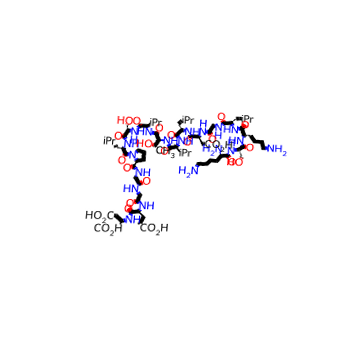 CC(C)C[C@H](NC(=O)[C@H](CCCCN)NC(=O)[C@H](CO)NC(=O)[C@@H](N)CCCCN)C(=O)NCC(=O)N[C@@H](CC(=O)O)C(=O)N[C@@H](CC(C)C)C(=O)N[C@H](C(=O)N[C@H](C(=O)N[C@H](C(=O)N[C@@H](CO)C(=O)N[C@@H](CC(C)C)C(=O)N1CCC[C@H]1C(=O)NCC(=O)NCC(=O)N[C@@H](CCC(=O)O)C(=O)N[C@@H](CC(=O)O)C(=O)O)C(C)C)[C@@H](C)O)C(C)C